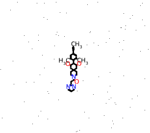 CC#Cc1cc(C)c(C2C(=O)CC3(CCN(C(=O)Cc4ncccn4)CC3)CC2=O)c(C)c1